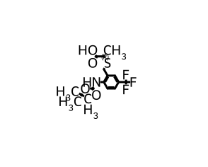 C[C@@H](SCc1cc(C(F)(F)F)ccc1NC(=O)OC(C)(C)C)C(=O)O